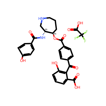 O=C(N[C@@H]1CNCCC[C@H]1OC(=O)c1ccc(C(=O)c2c(O)cccc2C(=O)O)cc1)c1ccc(O)cc1.O=C(O)C(F)(F)F